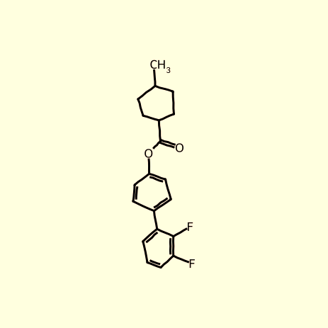 CC1CCC(C(=O)Oc2ccc(-c3cccc(F)c3F)cc2)CC1